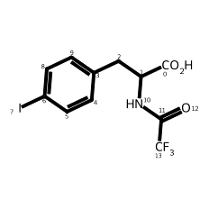 O=C(O)C(Cc1ccc(I)cc1)NC(=O)C(F)(F)F